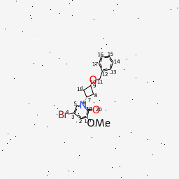 COc1cc(Br)cn([C@H]2C[C@@H](OCc3ccccc3)C2)c1=O